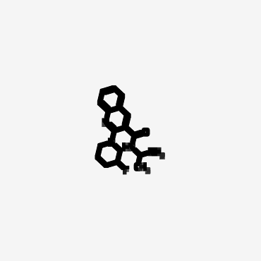 CC(N)NC(=O)c1cc2ccccc2nc1N1CCCC(F)C1